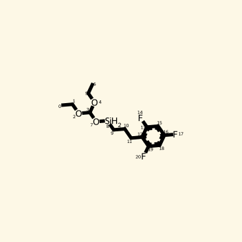 CCOC(OCC)O[SiH2]CCCc1c(F)cc(F)cc1F